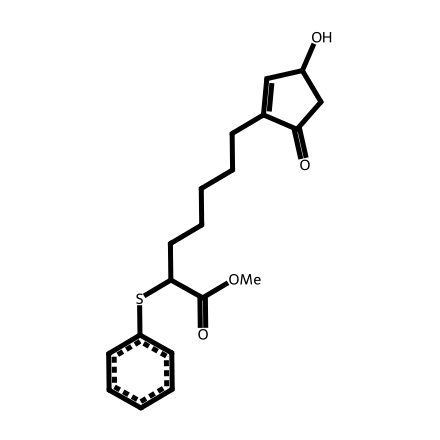 COC(=O)C(CCCCCC1=CC(O)CC1=O)Sc1ccccc1